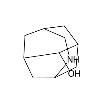 OC1C2CC3CNC(C2)CC1C3